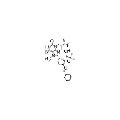 Cn1c(-c2ccc(OCc3ccccc3)c(OC(F)(F)F)c2)nc2c1c(=O)[nH]c(=O)n2CC(CO)C(F)F